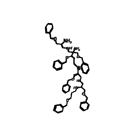 NC(CNCC(N)(COCc1ccccc1)C(CCNC(CNCC(COCc1ccccc1)NCCCOCc1ccccc1)COCc1ccccc1)OCc1ccccc1)COCc1ccccc1